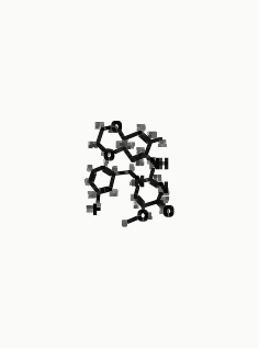 COc1cn(Cc2cccc(F)c2)c(Nc2cc3c(cc2C)OCCO3)nc1=O